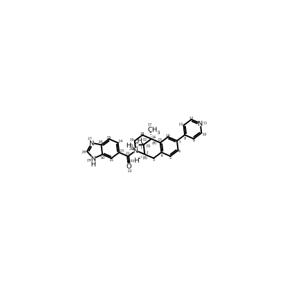 C[C@@H]1[C@H]2Cc3ccc(-c4ccncc4)cc3[C@]1(C)CCN2C(=O)c1ccc2nc[nH]c2c1